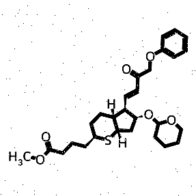 COC(=O)CCC[C@H]1CC[C@@H]2[C@@H](C=CC(=O)COc3ccccc3)[C@H](OC3CCCCO3)C[C@@H]2S1